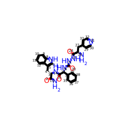 NC(=O)[C@H](Cc1c[nH]c2ccccc12)NC(=O)[C@@H](NC(=O)NNC(=O)[C@@H](N)Cc1ccncc1)c1ccccc1